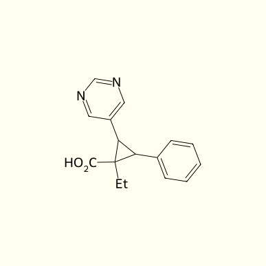 CCC1(C(=O)O)C(c2ccccc2)C1c1cncnc1